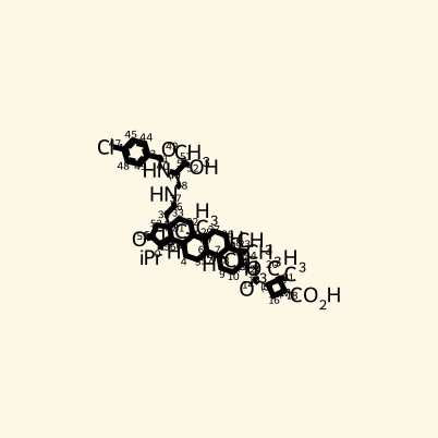 CC(C)C1=C2[C@H]3CC[C@@H]4[C@@]5(C)CC[C@H](OC(=O)[C@H]6C[C@@H](C(=O)O)C6(C)C)C(C)(C)[C@@H]5CC[C@@]4(C)[C@]3(C)CC[C@@]2(CCNC[C@@H](NC(=O)c2ccc(Cl)cc2)C(C)O)CC1=O